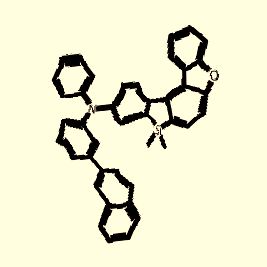 C[Si]1(C)c2cc(N(c3ccccc3)c3cccc(-c4ccc5ccccc5c4)c3)ccc2-c2c1ccc1oc3ccccc3c21